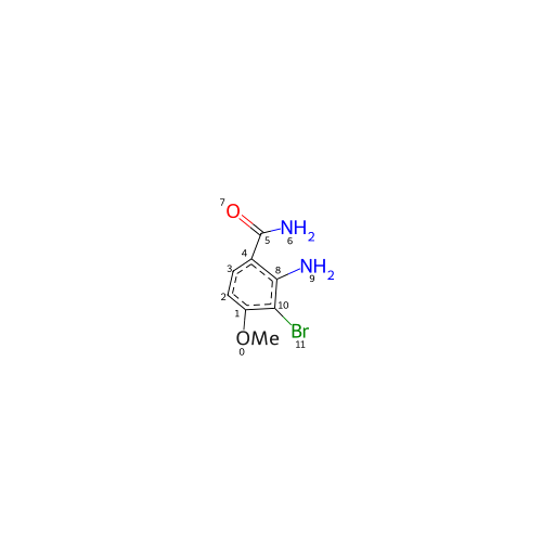 COc1ccc(C(N)=O)c(N)c1Br